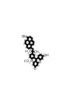 CC(C)(C)c1ccc2ccc3c(CC(C)(C)c4ccc(C(=O)O)c(-c5c6ccc(=O)cc-6oc6cc(O)ccc56)c4)ccc4ccc1c2c43